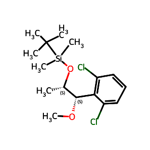 CO[C@@H](c1c(Cl)cccc1Cl)[C@H](C)O[Si](C)(C)C(C)(C)C